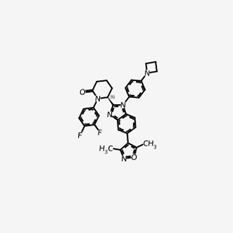 Cc1noc(C)c1-c1ccc2c(c1)nc([C@@H]1CCCC(=O)N1c1ccc(F)c(F)c1)n2-c1ccc(N2CCC2)cc1